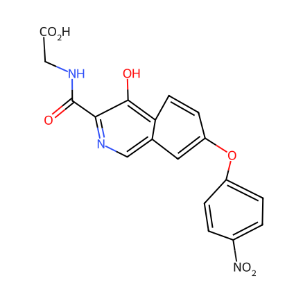 O=C(O)CNC(=O)c1ncc2cc(Oc3ccc([N+](=O)[O-])cc3)ccc2c1O